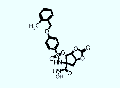 Cc1ccccc1COc1ccc(S(=O)(=O)NC2(C(=O)NO)CC3OC(=O)OC3C2)cc1